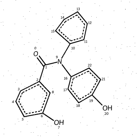 O=C(c1cccc(O)c1)N(c1ccccc1)c1ccc(O)cc1